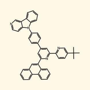 CC(C)(C)c1ccc(-c2cc(-c3ccc(-n4c5ccccc5c5cnccc54)cc3)cc(-c3cc4ccccc4c4ccccc34)n2)nc1